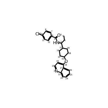 CCC(NC(=O)c1ccc(Cl)cc1)C1CCC(Oc2ccnc3ccccc23)CC1